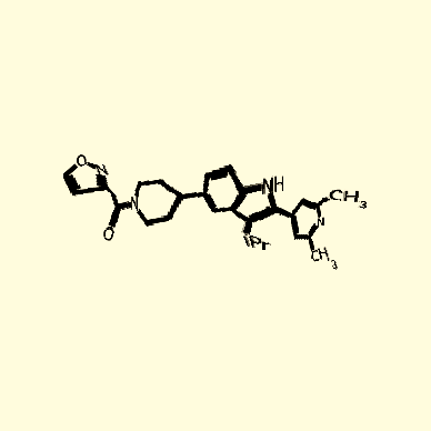 Cc1cc(-c2[nH]c3ccc(C4CCN(C(=O)c5ccon5)CC4)cc3c2C(C)C)cc(C)n1